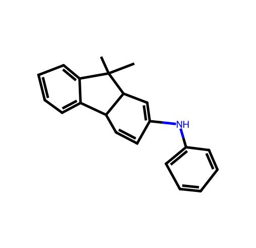 CC1(C)c2ccccc2C2C=CC(Nc3ccccc3)=CC21